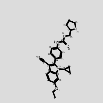 CCOc1ccc2c(C#N)c(-c3ccc(NC(=O)OCC4CCCO4)cc3)n(C3CC3)c2c1